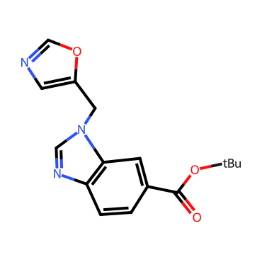 CC(C)(C)OC(=O)c1ccc2ncn(Cc3cnco3)c2c1